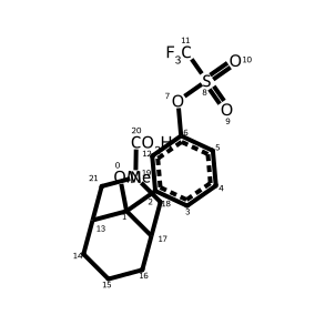 COC1(c2cccc(OS(=O)(=O)C(F)(F)F)c2)C2CCCC1CN(C(=O)O)C2